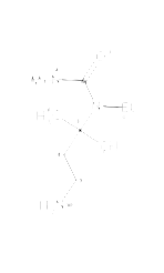 CCN(C(=O)NC)C(C)(C)CCN